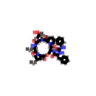 C[C@H]1C[C@H]2C(=O)OC[C@H](NC(=O)[C@H](Cc3ccccc3)NC(=O)Nc3ccccc3)C(=O)N3CCCC[C@H]3C(=O)N(C)[C@@H](CCO)C(=O)N[C@@H](C)C(=O)N2C1